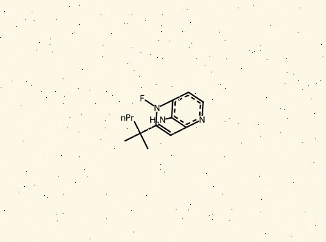 CCCC(C)(C)C1=Cc2nccc(c2N)N1F